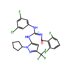 O=C(/N=C(/Nc1cc(F)cc(Cl)c1)Nc1cc(C(F)(F)F)nn1C1CCCC1)c1c(F)cccc1F